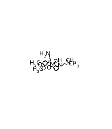 COc1ccc([C@@H](CCCN)N2C(=O)c3cccc(NCCCN(C)C)c3C2=O)cc1OC